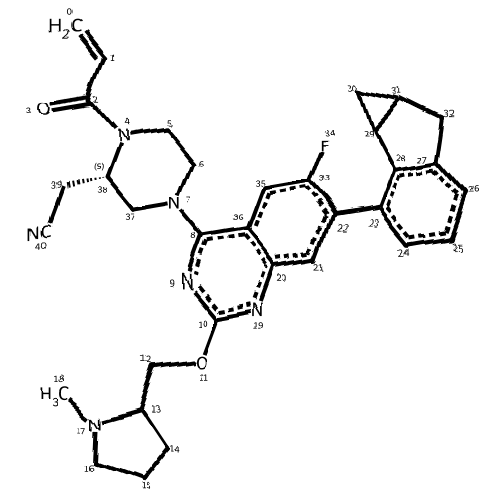 C=CC(=O)N1CCN(c2nc(OCC3CCCN3C)nc3cc(-c4cccc5c4C4CC4C5)c(F)cc23)C[C@@H]1CC#N